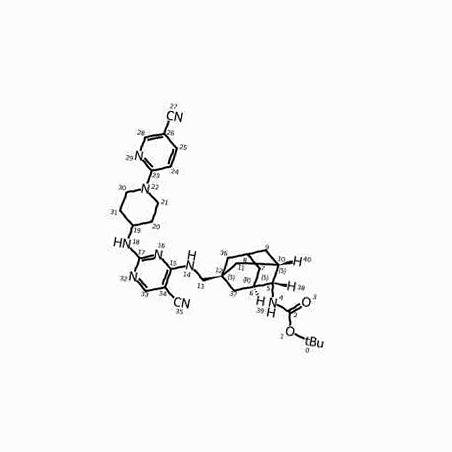 CC(C)(C)OC(=O)N[C@@H]1[C@@H]2CC3C[C@H]1C[C@@](CNc1nc(NC4CCN(c5ccc(C#N)cn5)CC4)ncc1C#N)(C3)C2